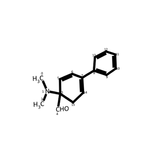 CN(C)C1(C=O)C=CC(c2ccccc2)=CC1